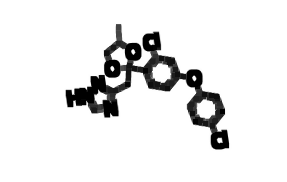 CC1COC(Cc2nc[nH]n2)(c2ccc(Oc3ccc(Cl)cc3)cc2Cl)O1